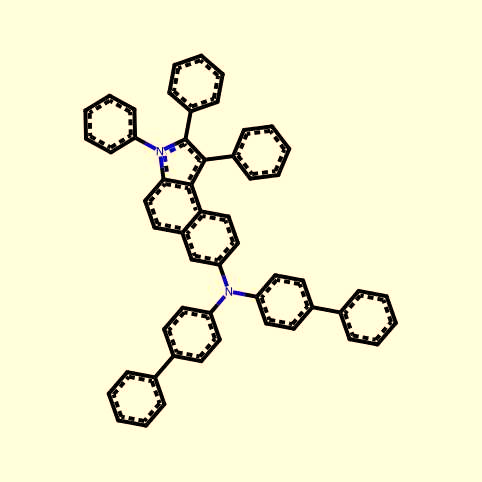 c1ccc(-c2ccc(N(c3ccc(-c4ccccc4)cc3)c3ccc4c(ccc5c4c(-c4ccccc4)c(-c4ccccc4)n5-c4ccccc4)c3)cc2)cc1